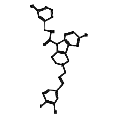 O=C(NCc1ccnc(Cl)c1)n1c2c(c3cc(Br)ccc31)CN(CC=Cc1ccc(F)c(Cl)c1)CC2